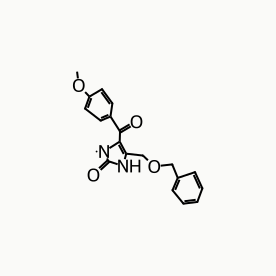 COc1ccc(C(=O)C2=C(COCc3ccccc3)NC(=O)[N]2)cc1